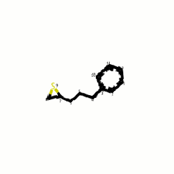 c1ccc(CCCC2CS2)cc1